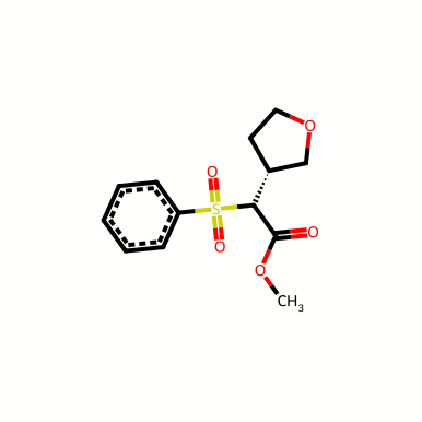 COC(=O)C([C@@H]1CCOC1)S(=O)(=O)c1ccccc1